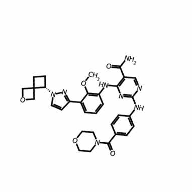 COc1c(Nc2nc(Nc3ccc(C(=O)N4CCOCC4)cc3)ncc2C(N)=O)cccc1-c1ccn([C@H]2CCC23COC3)n1